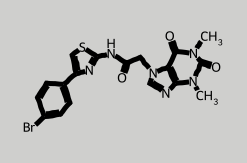 Cn1c(=O)c2c(ncn2CC(=O)Nc2nc(-c3ccc(Br)cc3)cs2)n(C)c1=O